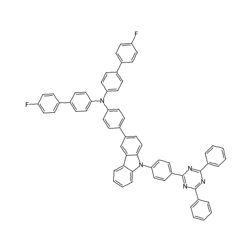 Fc1ccc(-c2ccc(N(c3ccc(-c4ccc(F)cc4)cc3)c3ccc(-c4ccc5c(c4)c4ccccc4n5-c4ccc(-c5nc(-c6ccccc6)nc(-c6ccccc6)n5)cc4)cc3)cc2)cc1